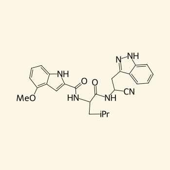 COc1cccc2[nH]c(C(=O)NC(CC(C)C)C(=O)NC(C#N)Cc3n[nH]c4ccccc34)cc12